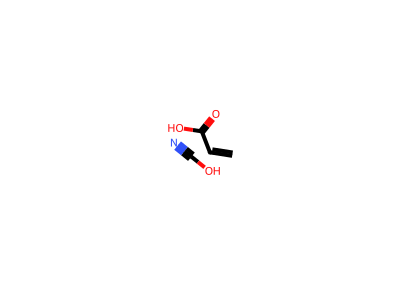 C=CC(=O)O.N#CO